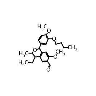 CCCCOc1cc(C2OC(C)C(CC)c3cc(C=O)c(OC)cc32)ccc1OC